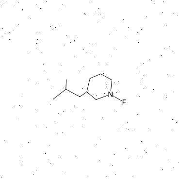 CC(C)CC1CCCN(F)C1